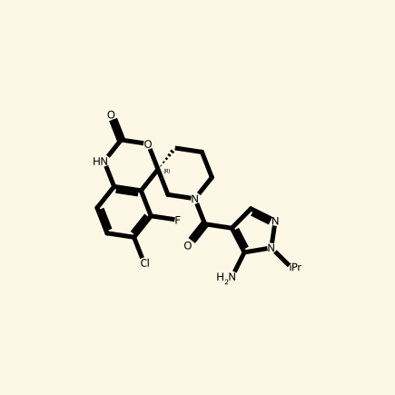 CC(C)n1ncc(C(=O)N2CCC[C@@]3(C2)OC(=O)Nc2ccc(Cl)c(F)c23)c1N